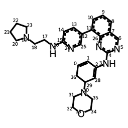 C1=CC(Nc2ncc3cccc(-c4ccc(NCCN5CCCC5)nc4)c3n2)=CC(N2CCOCC2)C1